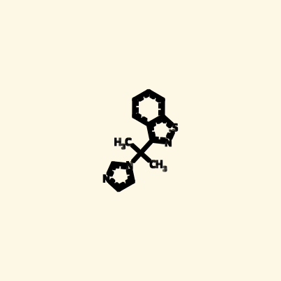 CC(C)(c1nsc2ccccc12)n1ccnc1